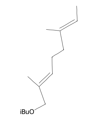 C/C=C(\C)CC/C=C(\C)COCC(C)C